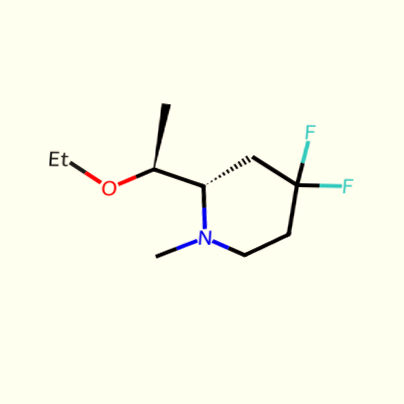 CCO[C@@H](C)[C@@H]1CC(F)(F)CCN1C